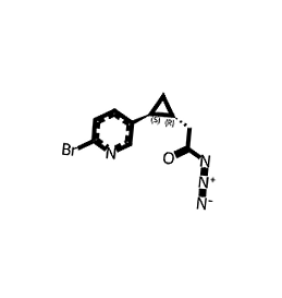 [N-]=[N+]=NC(=O)C[C@H]1C[C@@H]1c1ccc(Br)nc1